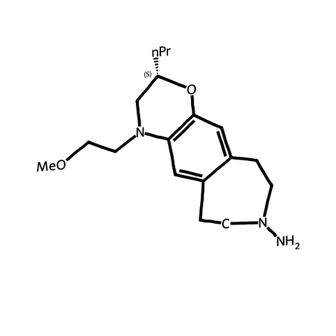 CCC[C@H]1CN(CCOC)c2cc3c(cc2O1)CCN(N)CC3